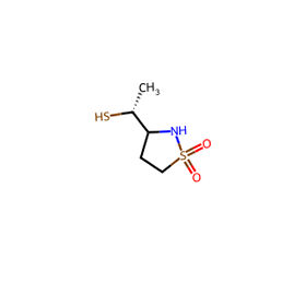 C[C@@H](S)C1CCS(=O)(=O)N1